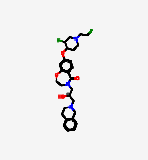 O=C1c2ccc(OC3CCN(CCF)CC3F)cc2OCCN1C[C@H](O)CN1CCc2ccccc2C1